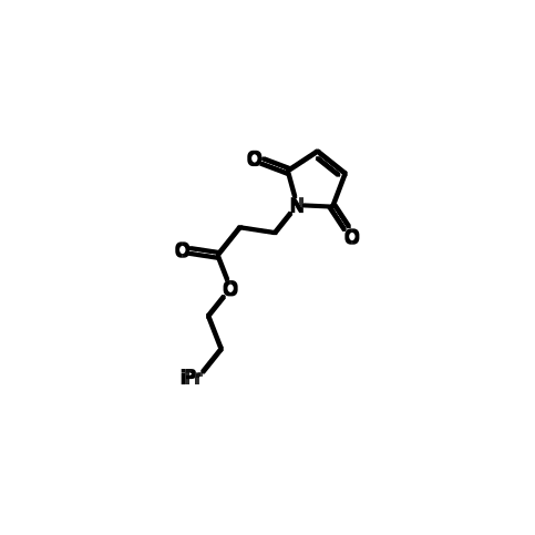 CC(C)CCOC(=O)CCN1C(=O)C=CC1=O